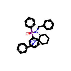 O=P(c1ccccc1)(c1ccccc1)N(Cc1ccccc1)[C@@H]1CCCC[C@H]1NCc1ccccc1